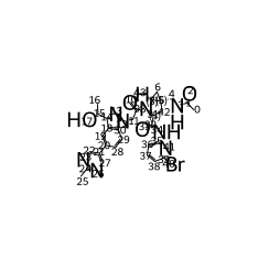 CC(=O)NC[C@@]12C[C@@H]1N(C(=O)Cn1nc(C(C)O)c3cc(-c4cnc(C)nc4)ccc31)[C@H](C(=O)Nc1cccc(Br)n1)C2